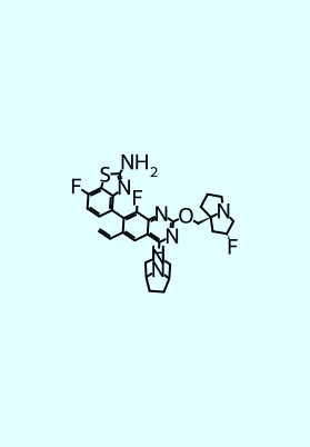 C=Cc1cc2c(N3CC4CCC(C3)N4)nc(OC[C@@]34CCCN3C[C@H](F)C4)nc2c(F)c1-c1ccc(F)c2sc(N)nc12